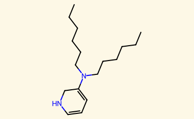 CCCCCCN(CCCCCC)C1=CC=CNC1